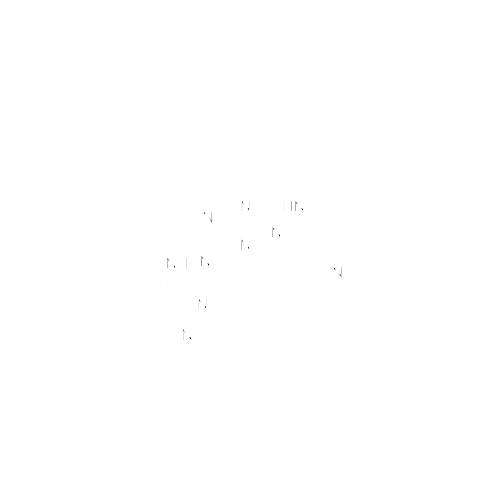 C1=Nc2cccc(Nc3ccccc3)c2C1c1nc2ncnc3nc(-n4cnc5cccc(Nc6ccccc6)c54)c4ccc1c4n23